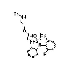 CCNCCOCCN1c2ccccc2N(c2c(F)cccc2F)S1(O)O